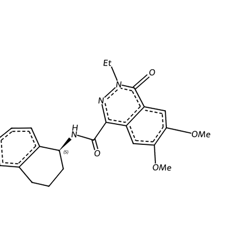 CCn1nc(C(=O)N[C@H]2CCCc3ccccc32)c2cc(OC)c(OC)cc2c1=O